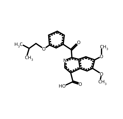 COc1cc2c(C(=O)O)cnc(C(=O)c3cccc(OCC(C)C)c3)c2cc1OC